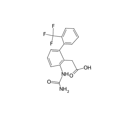 NC(=O)Nc1cccc(-c2ccccc2C(F)(F)F)c1CC(=O)O